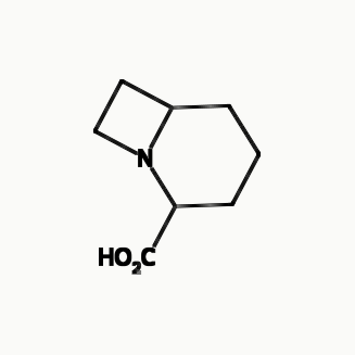 O=C(O)C1CCCC2CCN21